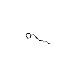 CCCCCCC#CCc1ccccc1